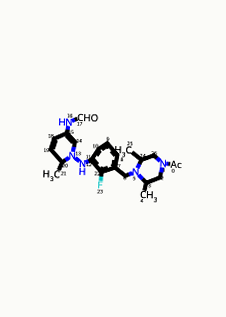 CC(=O)N1CC(C)N(Cc2cccc(NN3C=C(NC=O)C=CC3C)c2F)C(C)C1